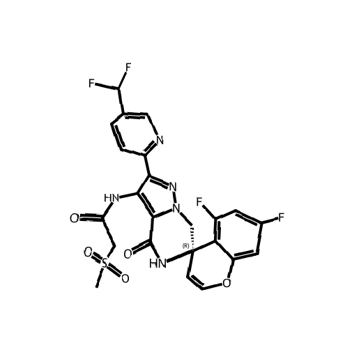 CS(=O)(=O)CC(=O)Nc1c(-c2ccc(C(F)F)cn2)nn2c1C(=O)N[C@@]1(C=COc3cc(F)cc(F)c31)C2